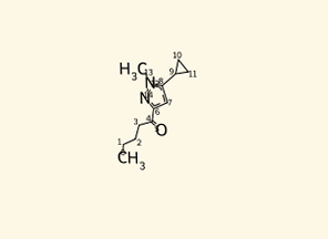 CCCCC(=O)c1cc(C2CC2)n(C)n1